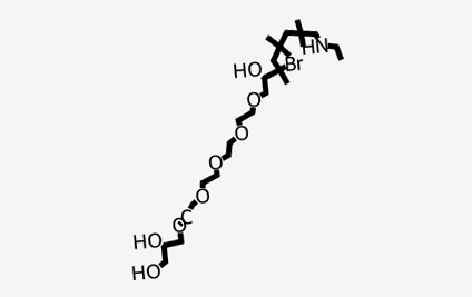 CCNCC(C)(C)CC(C)(C)CC(C)(Br)C(O)COCCOCCOCCOCCOCC(O)CO